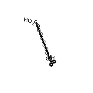 O=C(O)CCOCCOCCOCCOCCOCCOCCOCCOCCNC(=O)OCC1c2ccccc2-c2ccccc21